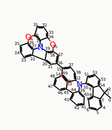 CC1(C)c2ccccc2-c2c(N(c3ccc(-c4cc5c6c(c4)c4cccc7c4n6-c4c(cccc4O5)O7)cc3)c3ccccc3-c3ccccc3)cccc21